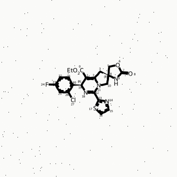 CCOC(=O)C1=C2C[C@]3(COC(=O)N3)CN2C(c2nccs2)=N[C@H]1c1ccc(F)cc1Cl